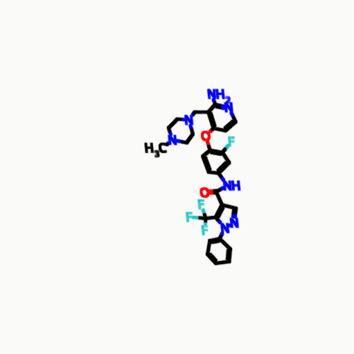 CN1CCN(Cc2c(Oc3ccc(NC(=O)c4cnn(-c5ccccc5)c4C(F)(F)F)cc3F)ccnc2N)CC1